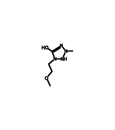 COCCN1NN(C)N=C1O